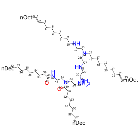 CCCCCCCCC=CCCCCCCCCNCCN(CCCCCCCCC=CCCCCCCCC)CCNCCN.CCCCCCCCCCCCCCCCCC(=O)NCCN(CCN)C(=O)CCCCCCCCCCCCCCCCC